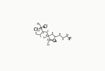 CCC(CC(C)(CCCCCF)C(C)=O)C(C)(Cl)Cl